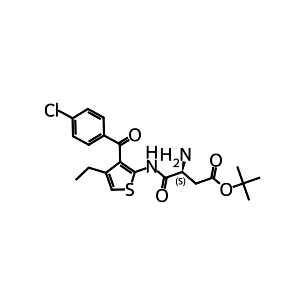 CCc1csc(NC(=O)[C@@H](N)CC(=O)OC(C)(C)C)c1C(=O)c1ccc(Cl)cc1